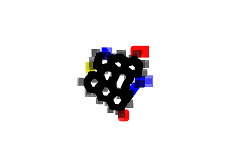 O=C1CC2CC3=c4c5c(sc6cnc7cc8c(O)cc9[nH]c1c1c2c4c(c7c65)c8c91)CC3